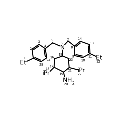 CCc1ccc(CN(Cc2ccc(CC)cc2)C2CC(C(C)C)C(N)C(C(C)C)C2)cc1